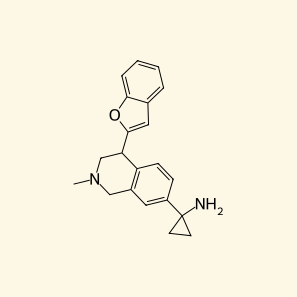 CN1Cc2cc(C3(N)CC3)ccc2C(c2cc3ccccc3o2)C1